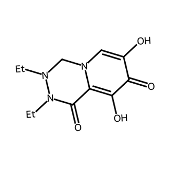 CCN1Cn2cc(O)c(=O)c(O)c2C(=O)N1CC